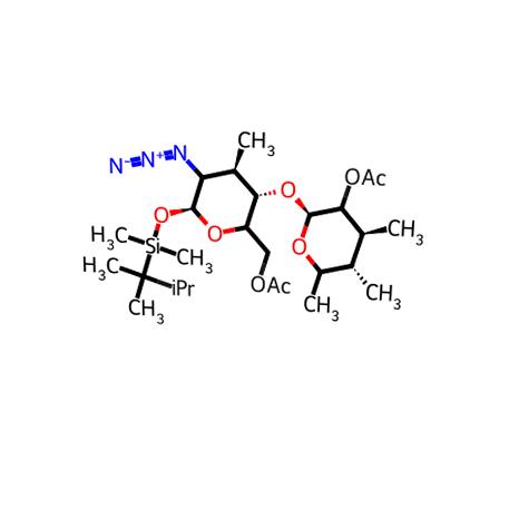 CC(=O)OCC1O[C@@H](O[Si](C)(C)C(C)(C)C(C)C)C(N=[N+]=[N-])[C@@H](C)[C@@H]1O[C@@H]1OC(C)[C@@H](C)[C@H](C)C1OC(C)=O